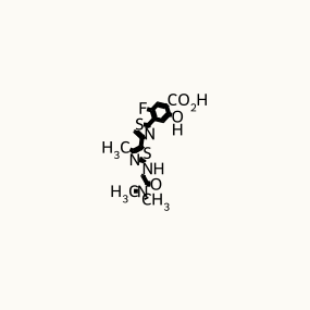 Cc1nc(NCC(=O)N(C)C)sc1-c1csc(-c2cc(O)c(C(=O)O)cc2F)n1